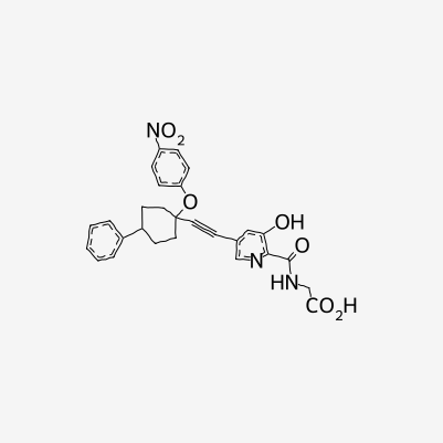 O=C(O)CNC(=O)c1ncc(C#CC2(Oc3ccc([N+](=O)[O-])cc3)CCC(c3ccccc3)CC2)cc1O